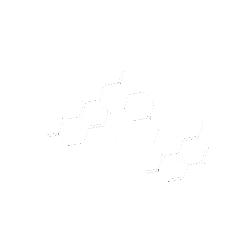 C=C(Cc1nc(Cl)c2c(n1)NC(=O)CC2)C1CCN(CCn2c(=O)ccc3ncc(F)cc32)CC1